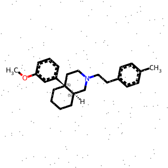 COc1cccc([C@]23CCCC[C@@H]2CN(CCc2ccc(C)cc2)CC3)c1